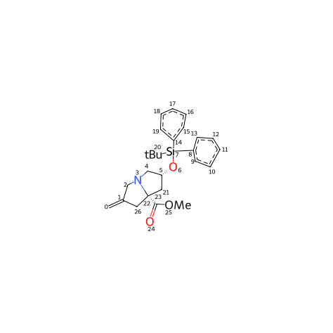 C=C1CN2C[C@H](O[Si](c3ccccc3)(c3ccccc3)C(C)(C)C)C[C@@]2(C(=O)OC)C1